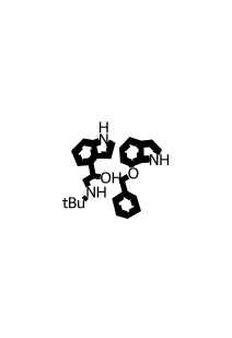 CC(C)(C)NCC(O)c1cccc2[nH]ccc12.c1ccc(COc2cccc3cc[nH]c23)cc1